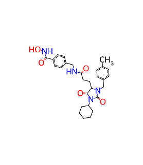 Cc1ccc(CN2C(=O)N(C3CCCCC3)C(=O)C2CCC(=O)NCc2ccc(C(=O)NO)cc2)cc1